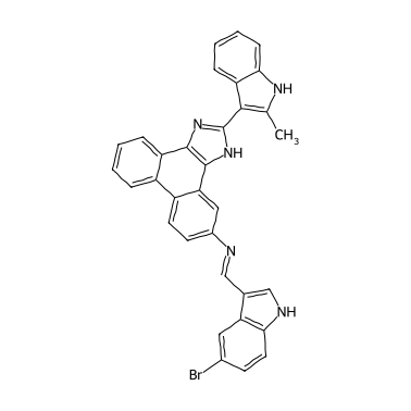 Cc1[nH]c2ccccc2c1-c1nc2c3ccccc3c3ccc(N=Cc4c[nH]c5ccc(Br)cc45)cc3c2[nH]1